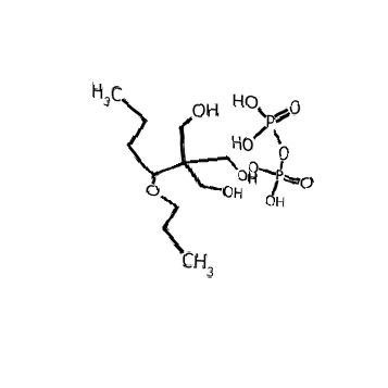 CCCOC(CCC)C(CO)(CO)CO.O=P(O)(O)OP(=O)(O)O